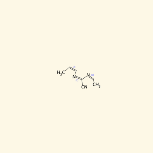 C\C=C/N=C(C#N)\N=C/C